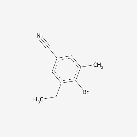 CCc1cc(C#N)cc(C)c1Br